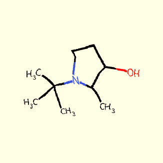 CC1C(O)CCN1C(C)(C)C